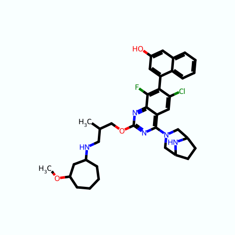 COC1CCCCC(NCC(C)COc2nc(N3CC4CCC(C3)N4)c3cc(Cl)c(-c4cc(O)cc5ccccc45)c(F)c3n2)C1